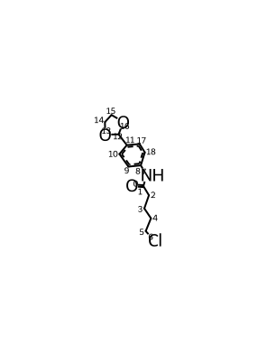 O=C(CCCCCl)Nc1ccc(C2OCCO2)cc1